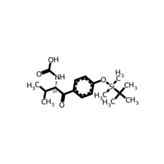 CC(C)[C@H](NC(=O)O)C(=O)c1ccc(O[Si](C)(C)C(C)(C)C)cc1